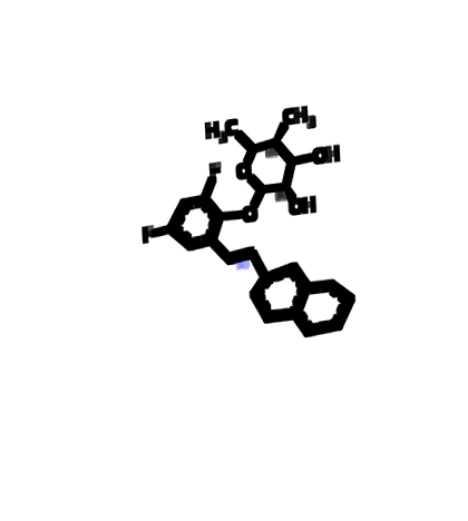 CC1OC(Oc2c(F)cc(F)cc2/C=C/c2ccc3ccccc3c2)[C@H](O)C(O)[C@@H]1C